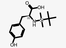 CC(C)(C)[Si](C)(C)N[C@@H](Cc1ccc(O)cc1)C(=O)O